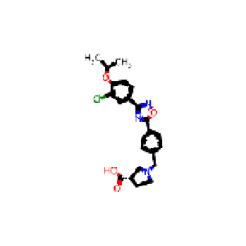 CC(C)Oc1ccc(-c2noc(-c3ccc(CN4CC[C@H](C(=O)O)C4)cc3)n2)cc1Cl